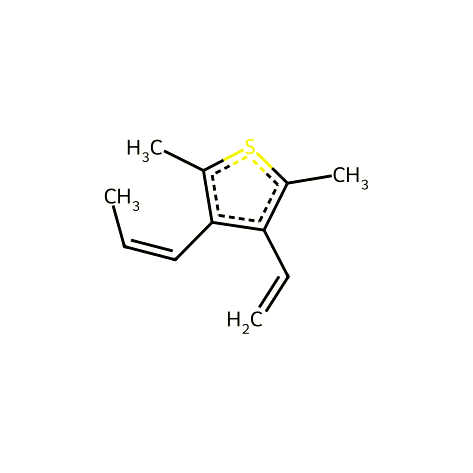 C=Cc1c(C)sc(C)c1/C=C\C